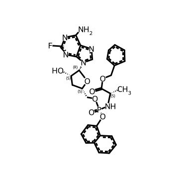 C[C@H](NP(=O)(OC[C@@H]1C[C@H](O)[C@H](n2cnc3c(N)nc(F)nc32)O1)Oc1cccc2ccccc12)C(=O)OCc1ccccc1